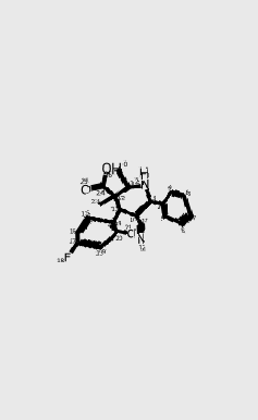 CC1NC(c2ccccc2)=C(C#N)C(c2ccc(F)cc2Cl)C1(C)C(=O)O